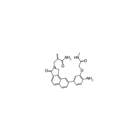 C=C(CN1Cc2c(ccc3ccc(-c4ccc(N)c(OCC(=O)NC)c4)cc23)C1=O)C(N)=O